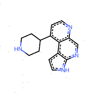 c1cc(C2CCNCC2)c2c(cnc3[nH]ccc32)n1